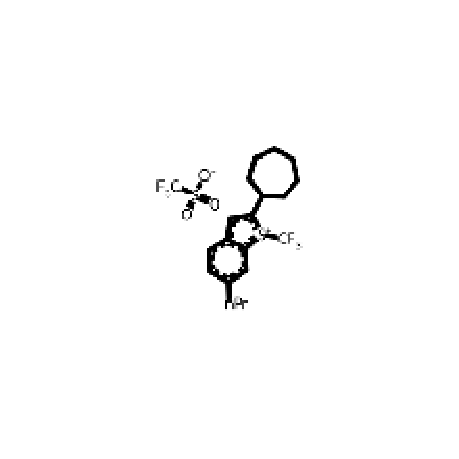 CCCc1ccc2cc(C3CCCCCC3)[s+](C(F)(F)F)c2c1.O=S(=O)([O-])C(F)(F)F